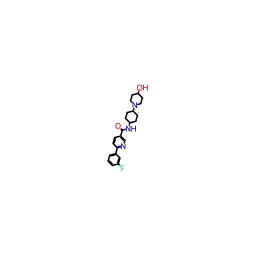 O=C(NC1CCC(N2CCC(O)CC2)CC1)c1ccc(-c2cccc(F)c2)nc1